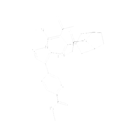 CNC(=O)c1ccc(-c2cnn3c(N)c(C(C)=O)c(C4CC5CCC(C4)N5C(=O)CO)nc23)cn1